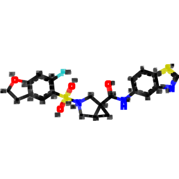 O=C(Nc1ccc2scnc2c1)C12CC1CN(S(=O)(=O)c1cc3c(cc1F)OCC3)C2